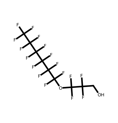 OCC(F)(F)C(F)(F)OC(F)(F)C(F)(F)C(F)(F)C(F)(F)C(F)(F)C(F)(F)F